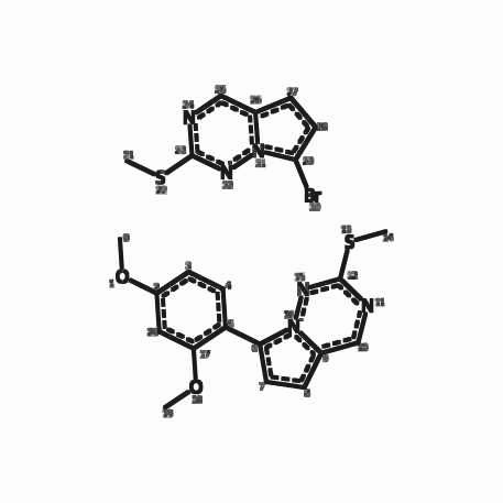 COc1ccc(-c2ccc3cnc(SC)nn23)c(OC)c1.CSc1ncc2ccc(Br)n2n1